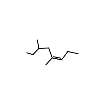 CC/C=C(/C)CC(C)CC